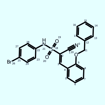 N#CC(=Cc1ccccc1OCc1ccccc1)S(=O)(=O)Nc1ccc(Br)cc1